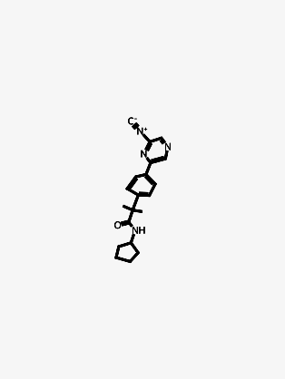 [C-]#[N+]c1cncc(-c2ccc(C(C)(C)C(=O)NC3CCCC3)cc2)n1